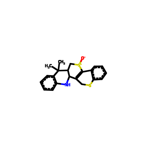 CC1(C)c2ccccc2NC2C3=C(c4ccccc4SC3)[S+]([O-])CC21